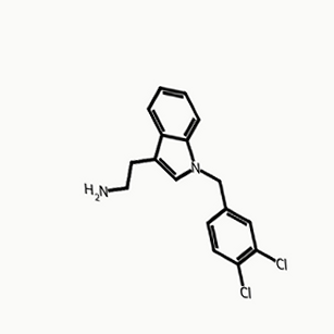 NCCc1cn(Cc2ccc(Cl)c(Cl)c2)c2ccccc12